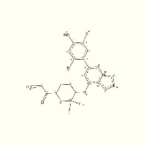 C=CC(=O)N1CCC(Oc2cc(-c3cc(F)c(O)cc3CC)cn3cncc23)C(F)(F)C1